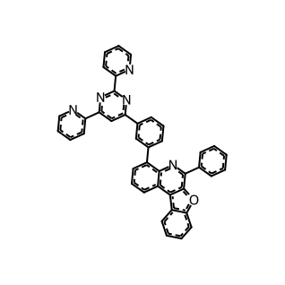 c1ccc(-c2nc3c(-c4cccc(-c5cc(-c6ccccn6)nc(-c6ccccn6)n5)c4)cccc3c3c2oc2ccccc23)cc1